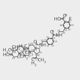 C=C(C)[C@@H]1CC[C@]2(C(=O)NCc3cccc(C(=O)NCCc4ccc(F)c(C(=O)O)c4)c3)CC[C@]3(C)C(CCC4[C@@]5(C)CC[C@H](O)C(C)(C)C5CC[C@]43C)C12